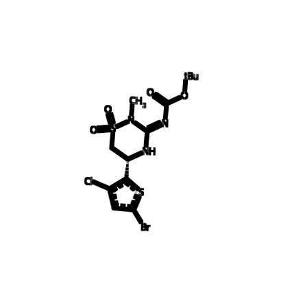 CN1/C(=N\C(=O)OC(C)(C)C)N[C@H](c2sc(Br)cc2Cl)CS1(=O)=O